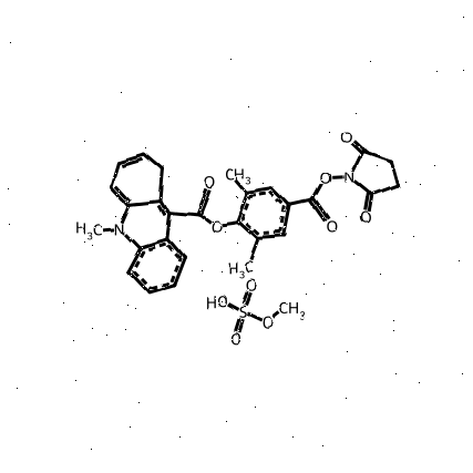 COS(=O)(=O)O.Cc1cc(C(=O)ON2C(=O)CCC2=O)cc(C)c1OC(=O)C1=C2CC=CC=C2N(C)c2ccccc21